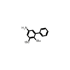 CC(C)(C)c1cc(N)cc(-c2ccccc2)c1C(C)(C)C